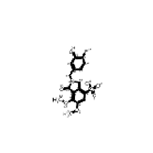 COc1cc(S(=O)(=O)Cl)c2c(c1OC)C(=O)N(Cc1ccc(F)c(Cl)c1)C2